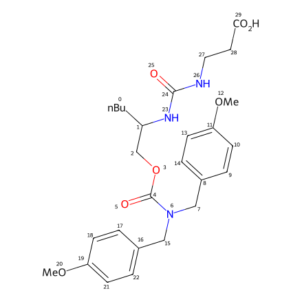 CCCCC(COC(=O)N(Cc1ccc(OC)cc1)Cc1ccc(OC)cc1)NC(=O)NCCC(=O)O